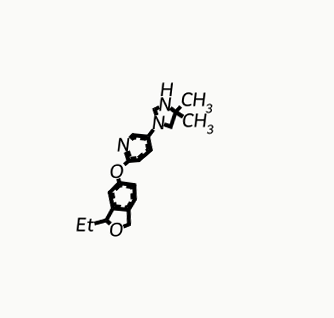 CCC1OCc2ccc(Oc3ccc(N4CNC(C)(C)C4)cn3)cc21